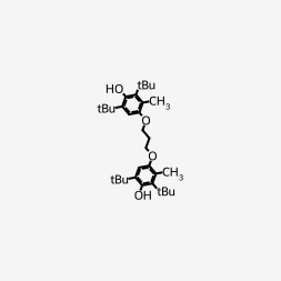 Cc1c(OCCCOc2cc(C(C)(C)C)c(O)c(C(C)(C)C)c2C)cc(C(C)(C)C)c(O)c1C(C)(C)C